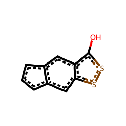 Oc1ssc2cc3cccc3cc12